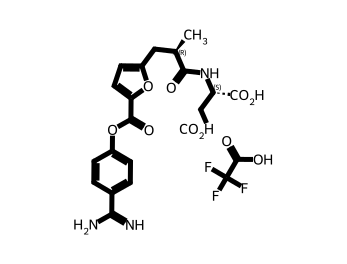 C[C@H](Cc1ccc(C(=O)Oc2ccc(C(=N)N)cc2)o1)C(=O)N[C@@H](CC(=O)O)C(=O)O.O=C(O)C(F)(F)F